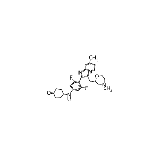 Cc1ccn2c(CC3CN(C)CCO3)c(-c3c(F)cc(NC4CCC(=O)CC4)cc3F)nc2c1